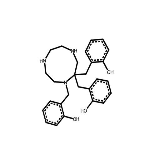 Oc1ccccc1CN1CCNCCNCC1(Cc1ccccc1O)Cc1ccccc1O